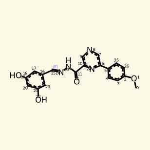 COc1ccc(-c2cncc(C(=O)N/N=C/c3cc(O)cc(O)c3)n2)cc1